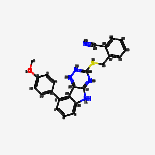 COc1ccc(-c2cccc3[nH]c4nc(SCc5ccccc5C#N)nnc4c23)cc1